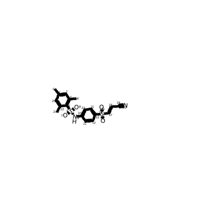 Cc1cc(C)c(S(=O)(=O)Nc2ccc(S(=O)(=O)C=CC#N)cc2)c(C)c1